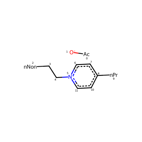 CC(=O)[O-].CCCCCCCCCCC[n+]1ccc(CCC)cc1